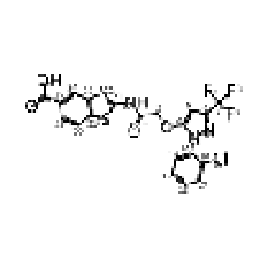 O=C(COc1cc(C(F)(F)F)nn1-c1ccccc1Cl)Nc1nc2cc(C(=O)O)ccc2s1